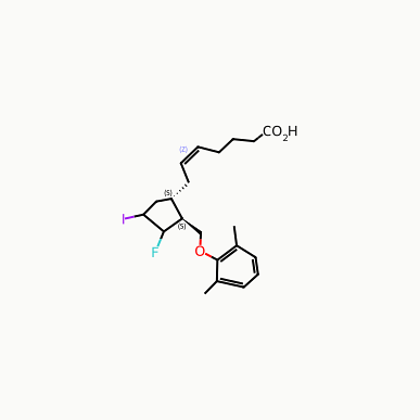 Cc1cccc(C)c1OC[C@H]1C(F)C(I)C[C@@H]1C/C=C\CCCC(=O)O